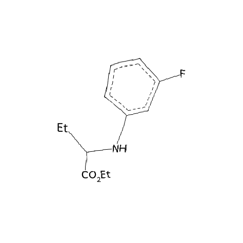 CCOC(=O)C(CC)Nc1cccc(F)c1